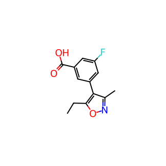 CCc1onc(C)c1-c1cc(F)cc(C(=O)O)c1